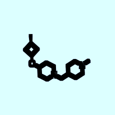 CN1CCC(CN2CCC(O[C@H]3C[C@H](C)C3)CC2)CC1